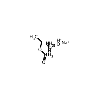 CCON=O.NN.O.[Na+].[OH-]